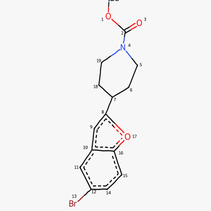 CC(C)(C)OC(=O)N1CCC(c2cc3cc(Br)ccc3o2)CC1